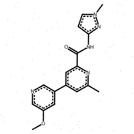 COc1cncc(-c2cc(C)nc(C(=O)Nc3ccn(C)n3)c2)c1